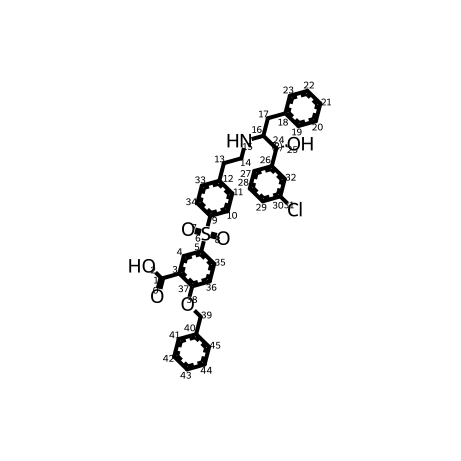 O=C(O)c1cc(S(=O)(=O)c2ccc(CCNC(Cc3ccccc3)[C@H](O)c3cccc(Cl)c3)cc2)ccc1OCc1ccccc1